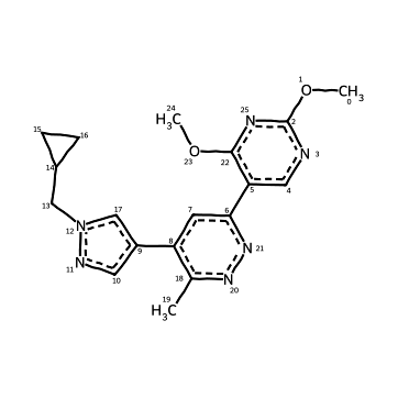 COc1ncc(-c2cc(-c3cnn(CC4CC4)c3)c(C)nn2)c(OC)n1